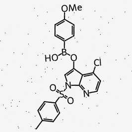 COc1ccc(B(O)Oc2cn(S(=O)(=O)c3ccc(C)cc3)c3nccc(Cl)c23)cc1